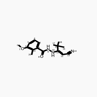 COc1cccc(C(=O)NNC(=CC#N)C(C)(C)C)c1C